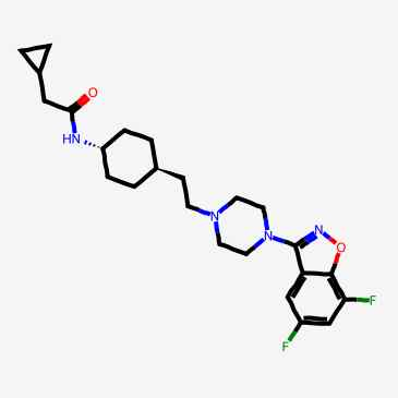 O=C(CC1CC1)N[C@H]1CC[C@H](CCN2CCN(c3noc4c(F)cc(F)cc34)CC2)CC1